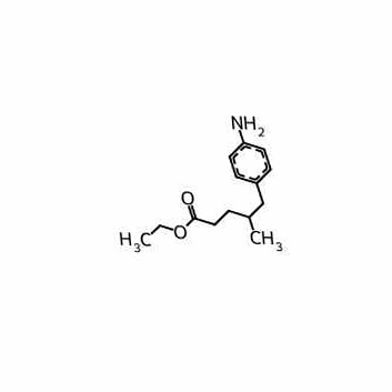 CCOC(=O)CCC(C)Cc1ccc(N)cc1